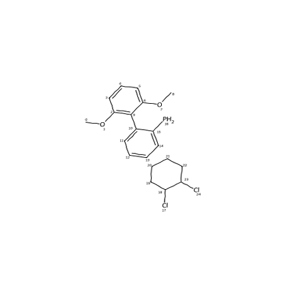 COc1cccc(OC)c1-c1ccccc1P.ClC1CCCCC1Cl